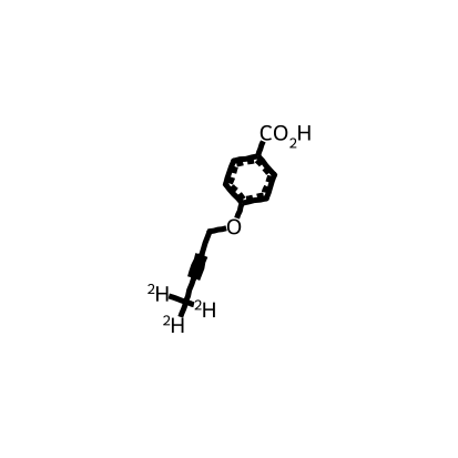 [2H]C([2H])([2H])C#CCOc1ccc(C(=O)O)cc1